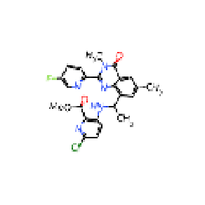 COC(=O)c1nc(Cl)ccc1N[C@H](C)c1cc(C)cc2c(=O)n(C)c(-c3ccc(F)cn3)nc12